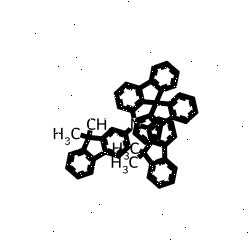 CC1(C)c2ccccc2-c2ccc(N(c3cccc4c3C(C)(C)c3ccccc3-4)c3cccc4c3C3(c5ccccc5-c5ccccc53)c3ccccc3-4)cc21